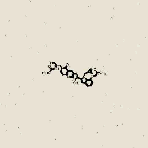 C[C@H](O)COc1cccc2cc(-c3nc4cc5c(nc4n3C)CCN(C[C@@H](CF)NC(=O)OC(C)(C)C)C5=O)n(CC3CC3)c12